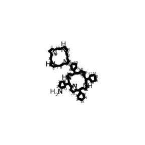 C1=Cc2cc3ccc(cc4nc(cc5ccc(cc1n2)[nH]5)C=C4)[nH]3.Nc1cccc(-c2c3nc(c(-c4ccccc4)c4ccc([nH]4)c(-c4ccccc4)c4nc(c(-c5ccccc5)c5ccc2[nH]5)C=C4)C=C3)c1